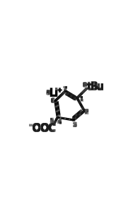 CC(C)(C)c1ccc(C(=O)[O-])cc1.[Li+]